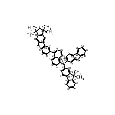 CC1(C)CC(C)(C)c2cc3c(cc21)oc1ccc(-c2cccc4c(N(c5ccc6c(c5)C(C)(C)c5ccccc5-6)c5ccc6c(c5)sc5ccccc56)cccc24)cc13